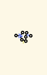 c1ccc(-c2nc(-c3ccccc3)nc(-c3ccc4sc5cccc(-c6ccc7c8ccccc8n(-c8ccccc8)c7c6)c5c4c3)n2)cc1